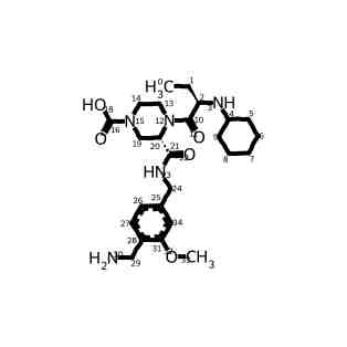 CC[C@@H](NC1CCCCC1)C(=O)N1CCN(C(=O)O)C[C@H]1C(=O)NCc1ccc(CN)c(OC)c1